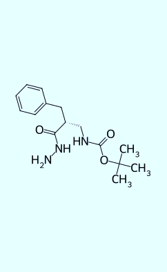 CC(C)(C)OC(=O)NC[C@@H](Cc1ccccc1)C(=O)NN